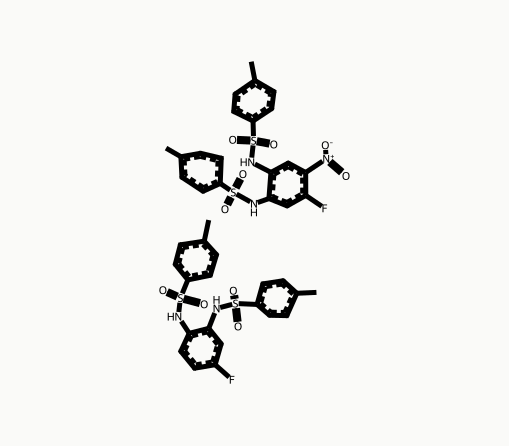 Cc1ccc(S(=O)(=O)Nc2cc(F)c([N+](=O)[O-])cc2NS(=O)(=O)c2ccc(C)cc2)cc1.Cc1ccc(S(=O)(=O)Nc2ccc(F)cc2NS(=O)(=O)c2ccc(C)cc2)cc1